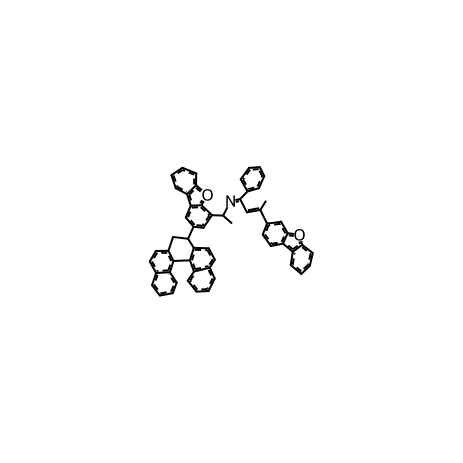 C/C(=C\C(=N/C(C)c1cc(C2Cc3ccc4ccccc4c3-c3c2ccc2ccccc32)cc2c1oc1ccccc12)c1ccccc1)c1ccc2c(c1)oc1ccccc12